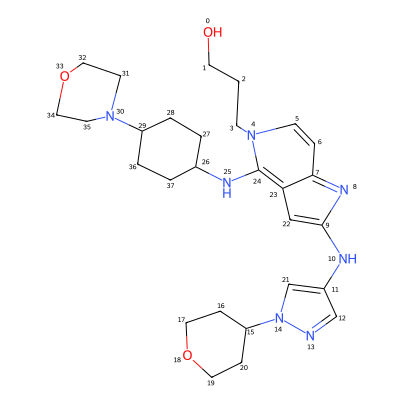 OCCCn1ccc2nc(Nc3cnn(C4CCOCC4)c3)cc-2c1NC1CCC(N2CCOCC2)CC1